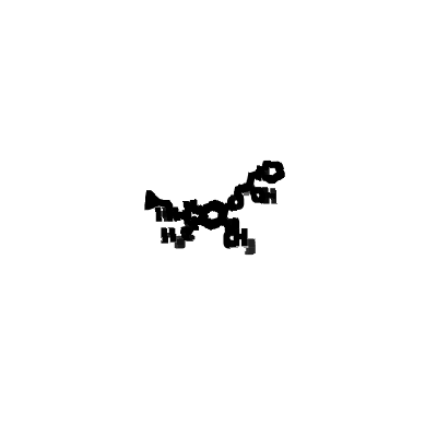 COc1cc2c(cc1OC[C@H](O)CN1CCCC1)nc(NCC1CC1)n2C